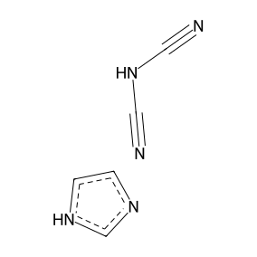 N#CNC#N.c1c[nH]cn1